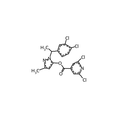 Cc1cc(OC(=O)c2cc(Cl)nc(Cl)c2)n(C(C)c2ccc(Cl)c(Cl)c2)n1